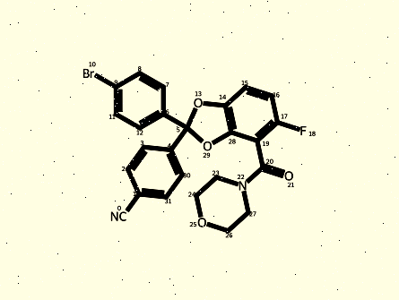 N#Cc1ccc(C2(c3ccc(Br)cc3)Oc3ccc(F)c(C(=O)N4CCOCC4)c3O2)cc1